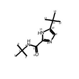 CC(C)(C)NC(=O)c1ncc(C(C)(C)C)[nH]1